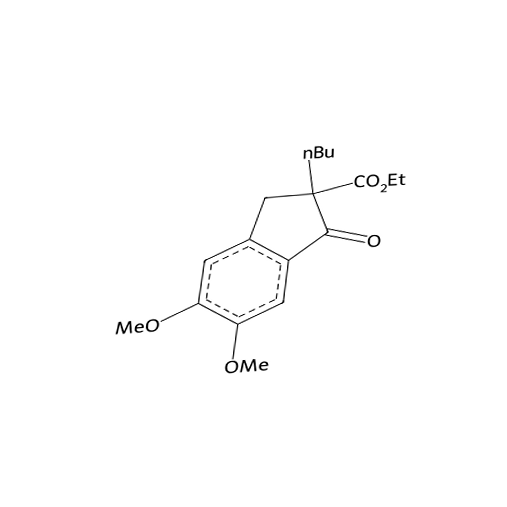 CCCCC1(C(=O)OCC)Cc2cc(OC)c(OC)cc2C1=O